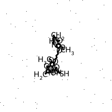 C=C1C[C@H]2C=Nc3cc(OCCCCCOc4cc5c(cc4OC)C(=O)N4CC(=C)C[C@H]4[C@H](O)N5C(=O)OCCS)c(OC)cc3C(=O)N2C1